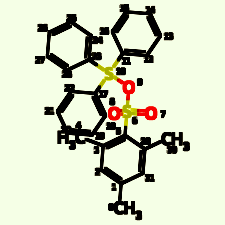 Cc1cc(C)c(S(=O)(=O)OS(c2ccccc2)(c2ccccc2)c2ccccc2)c(C)c1